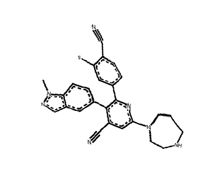 Cn1ncc2cc(-c3c(C#N)cc(N4CCCNCC4)nc3-c3ccc(C#N)c(F)c3)ccc21